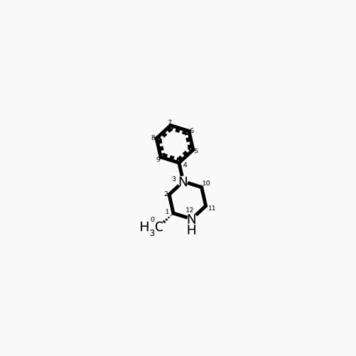 C[C@@H]1CN(c2ccccc2)CCN1